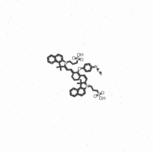 CC1(C)C(=CC=C2CCCC(C=CC3=[N+](CCCS(=O)(=O)O)c4ccc5ccccc5c4C3(C)C)=C2Oc2ccc(N=C=S)cc2)N(CCCS(=O)(=O)O)c2ccc3ccccc3c21